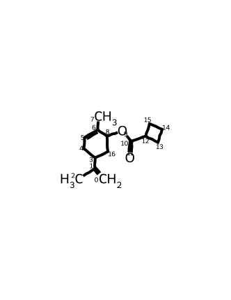 C=C(C)C1CC=C(C)C(OC(=O)C2CCC2)C1